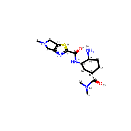 CN1Cc2nc(C(=O)N[C@@H]3C[C@@H](C(=O)N(C)C)CC[C@@H]3N)sc2C1